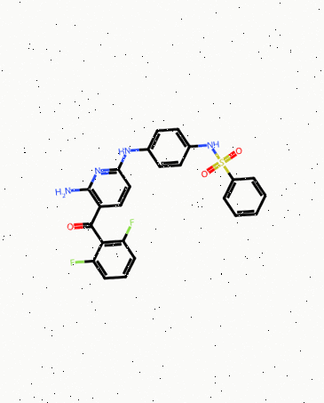 Nc1nc(Nc2ccc(NS(=O)(=O)c3ccccc3)cc2)ccc1C(=O)c1c(F)cccc1F